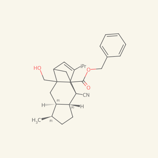 CC(C)C1=CC2CC3(C#N)[C@@H]4CC[C@@H](C)[C@H]4CC2(CO)C13C(=O)OCc1ccccc1